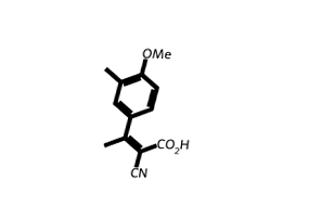 COc1ccc(C(C)=C(C#N)C(=O)O)cc1C